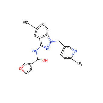 N#Cc1ccc2c(c1)c(NC(O)c1ccoc1)nn2Cc1ccc(C(F)(F)F)nc1